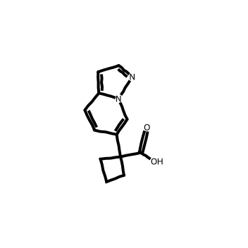 O=C(O)C1(c2ccc3ccnn3c2)CCC1